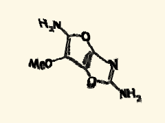 COc1c(N)oc2nc(N)oc12